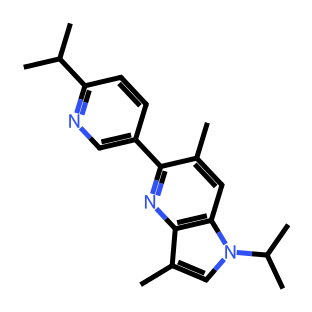 Cc1cc2c(nc1-c1ccc(C(C)C)nc1)c(C)cn2C(C)C